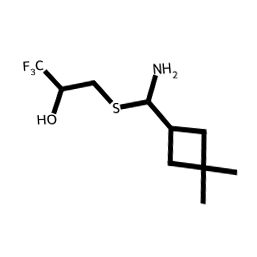 CC1(C)CC(C(N)SCC(O)C(F)(F)F)C1